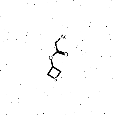 CC(=O)CC(=O)OC1CSC1